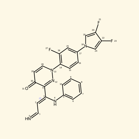 N=C/C=C(\Nc1ccccc1)c1nn(-c2ccc(-n3cc(F)c(F)c3)cc2F)ccc1=O